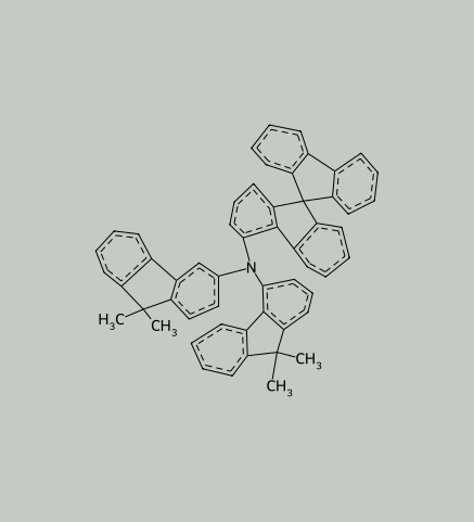 CC1(C)c2ccccc2-c2cc(N(c3cccc4c3-c3ccccc3C4(C)C)c3cccc4c3-c3ccccc3C43c4ccccc4-c4ccccc43)ccc21